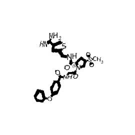 CS(=O)(=O)[C@@H]1C[C@@H](C(=O)NCc2cc(C(=N)N)cs2)N(C(=O)CNC(=O)c2ccc(Oc3ccccc3)cc2)C1